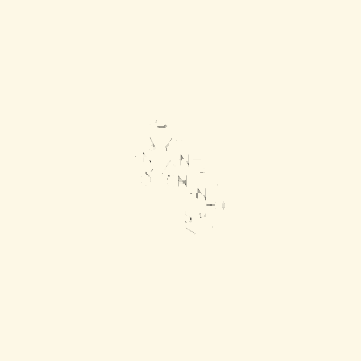 Cn1c(=O)c(C#N)c(NC2CCN(C(=O)C3CC=CS3)CC2)c2ccccc21